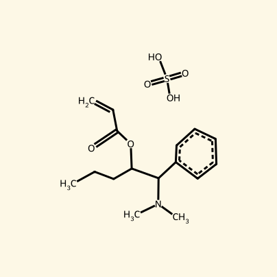 C=CC(=O)OC(CCC)C(c1ccccc1)N(C)C.O=S(=O)(O)O